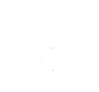 CC(C)CCCC(C)[C@H]1CC[C@H]2[C@@H]3CC=C4C[C@@H](OC(=O)CN(CCCN)CCCCNCCCN)CC[C@]4(C)[C@H]3CC[C@]12C